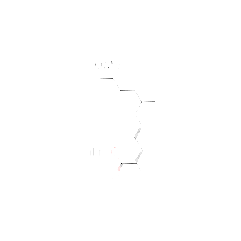 COC(C)(C)CCCC(C)CC=CC=C(C)C(=O)OC(C)C